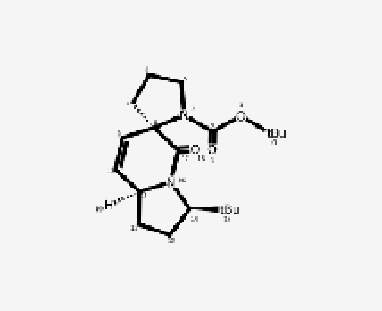 CC(C)(C)OC(=O)N1CCC[C@]12C=C[C@@H]1CC[C@H](C(C)(C)C)N1C2=O